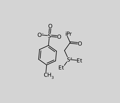 CC[S+](CC)CC(=O)C(C)C.Cc1ccc(S(=O)(=O)[O-])cc1